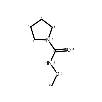 CONC(=O)N1CCCC1